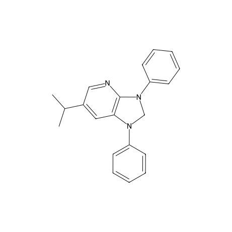 CC(C)c1cnc2c(c1)N(c1ccccc1)CN2c1ccccc1